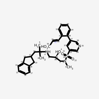 CN(C[C@H](O)CNC(C)(C)CC1Cc2ccccc2C1)S(=O)(=O)c1cncc(-c2ccccc2/C=C/C(=O)O)c1